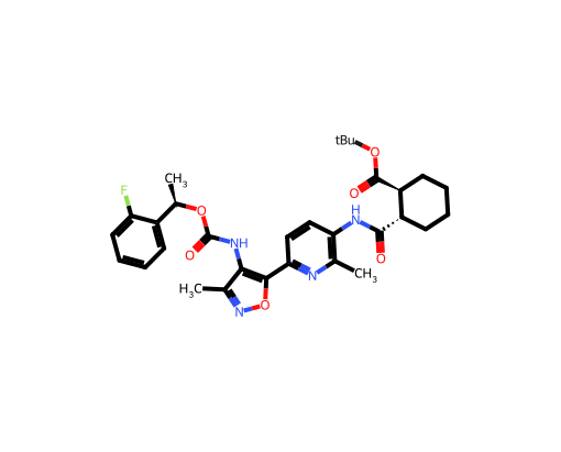 Cc1nc(-c2onc(C)c2NC(=O)O[C@H](C)c2ccccc2F)ccc1NC(=O)[C@H]1CCCC[C@@H]1C(=O)OC(C)(C)C